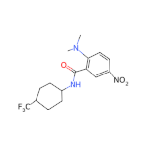 CN(C)c1ccc([N+](=O)[O-])cc1C(=O)NC1CCC(C(F)(F)F)CC1